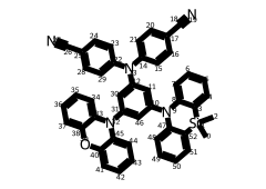 C[Si]1(C)c2ccccc2N(c2cc(N(c3ccc(C#N)cc3)c3ccc(C#N)cc3)cc(N3c4ccccc4Oc4ccccc43)c2)c2ccccc21